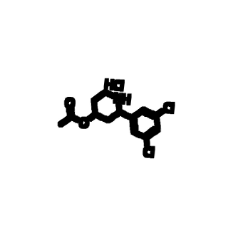 CC(=O)OC1CCNC(c2cc(Cl)cc(Cl)c2)C1.Cl